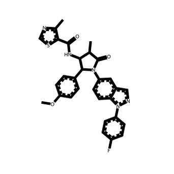 COc1ccc(C2C(NC(=O)c3scnc3C)C(C)C(=O)N2c2ccc3c(cnn3-c3ccc(F)cc3)c2)cc1